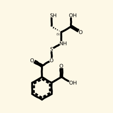 O=C(O)c1ccccc1C(=O)OSN[C@H](CS)C(=O)O